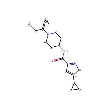 C=C(CCl)N1CCC(NC(=O)C2=NCC(C3CC3)=C2)CC1